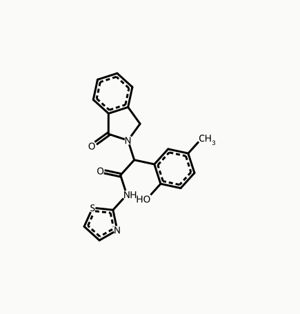 Cc1ccc(O)c(C(C(=O)Nc2nccs2)N2Cc3ccccc3C2=O)c1